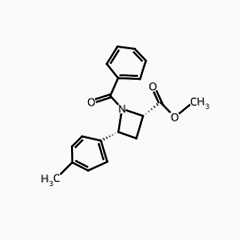 COC(=O)[C@@H]1C[C@H](c2ccc(C)cc2)N1C(=O)c1ccccc1